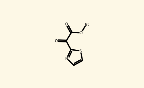 CCOC(=O)C(=O)c1nccs1